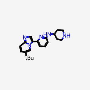 CC(C)(C)c1ccc2ncc(-c3cccc(NC4CCNCC4)n3)n2c1